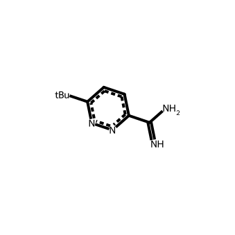 CC(C)(C)c1ccc(C(=N)N)nn1